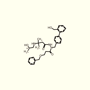 C[C@@H](O)CNC(C)(C)CC(=O)NN(Cc1ccc(-c2ccccc2CO)cc1)C(=O)CCOCc1ccccc1